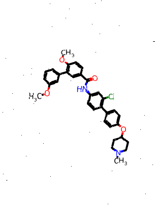 COc1cccc(-c2cc(C(=O)Nc3ccc(-c4ccc(OC5CCN(C)CC5)cc4)c(Cl)c3)ccc2OC)c1